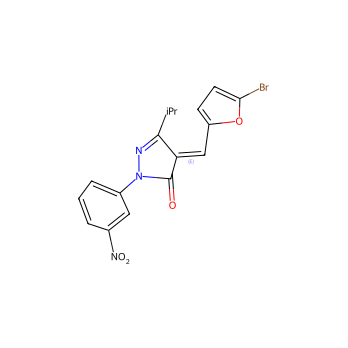 CC(C)C1=NN(c2cccc([N+](=O)[O-])c2)C(=O)/C1=C/c1ccc(Br)o1